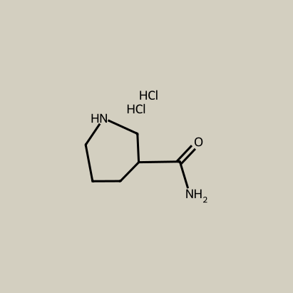 Cl.Cl.NC(=O)C1CCCNC1